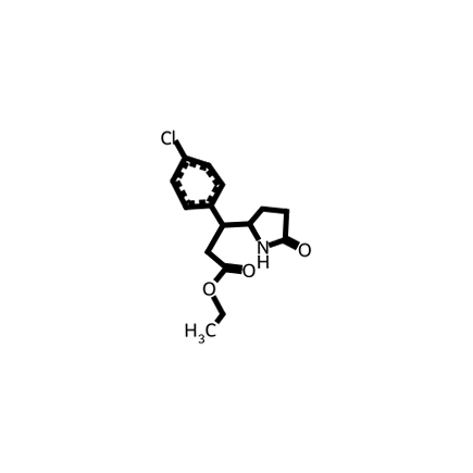 CCOC(=O)CC(c1ccc(Cl)cc1)C1CCC(=O)N1